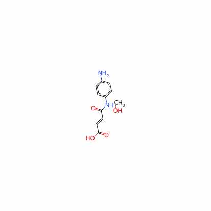 CO.Nc1ccc(NC(=O)C=CC(=O)O)cc1